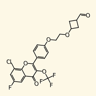 O=CC1CC(OCCOc2ccc(-c3oc4c(Cl)cc(F)cc4c(=O)c3OC(F)(F)F)cc2)C1